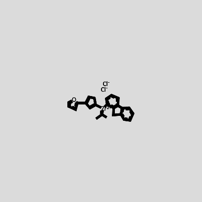 C[C](C)=[Zr+2]([C]1=CC(c2ccco2)=CC1)[c]1cccc2c1Cc1ccccc1-2.[Cl-].[Cl-]